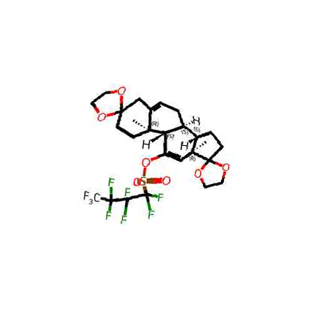 C[C@]12CCC3(CC1=CC[C@@H]1[C@@H]2C(OS(=O)(=O)C(F)(F)C(F)(F)C(F)(F)C(F)(F)F)=C[C@@]2(C)[C@H]1CCC21OCCO1)OCCO3